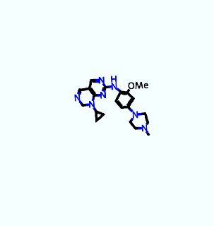 COc1cc(N2CCN(C)CC2)ccc1Nc1ncc2c(n1)N(C1CC1)CN=C2